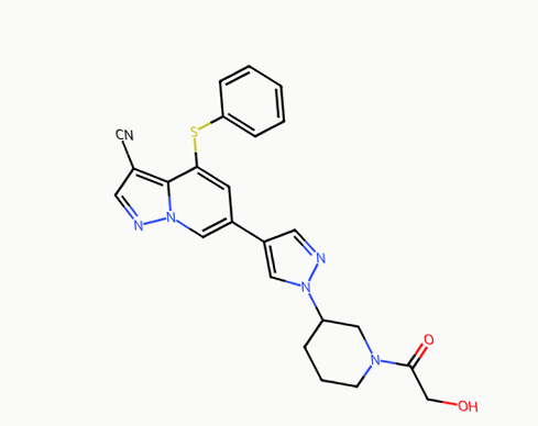 N#Cc1cnn2cc(-c3cnn(C4CCCN(C(=O)CO)C4)c3)cc(Sc3ccccc3)c12